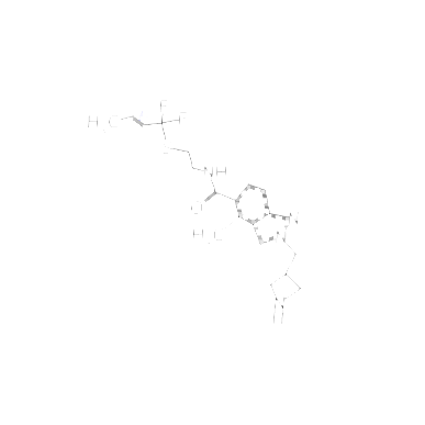 C/C=C/C(F)(F)SCCNC(=O)c1ccc2nn(CC3CNC3)cc2c1C